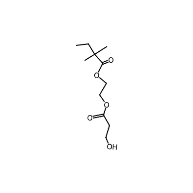 CCC(C)(C)C(=O)OCCOC(=O)CCO